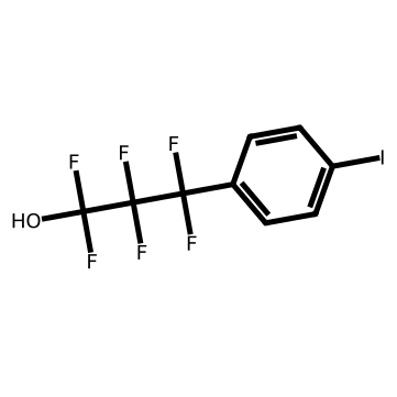 OC(F)(F)C(F)(F)C(F)(F)c1ccc(I)cc1